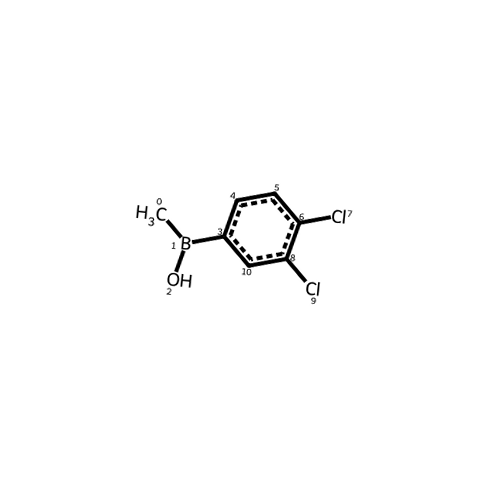 CB(O)c1ccc(Cl)c(Cl)c1